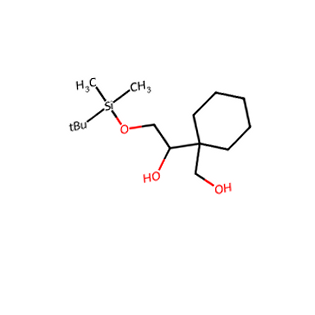 CC(C)(C)[Si](C)(C)OCC(O)C1(CO)CCCCC1